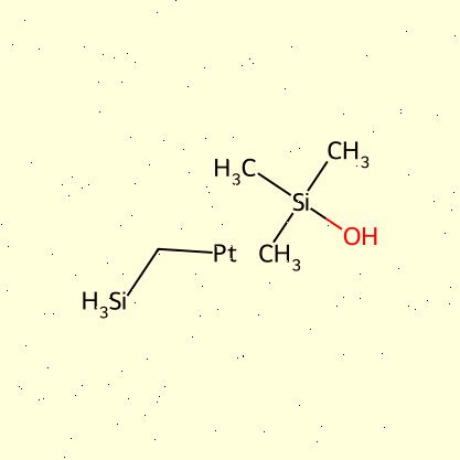 C[Si](C)(C)O.[SiH3][CH2][Pt]